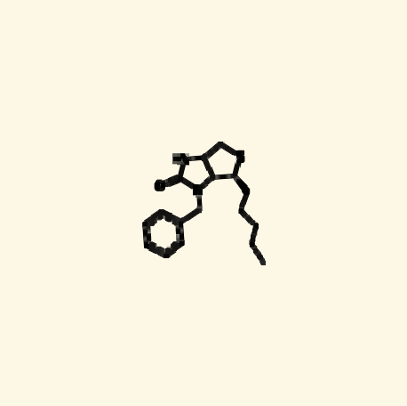 CCCCC[C@@H]1SCC2NC(=O)N(Cc3ccccc3)C21